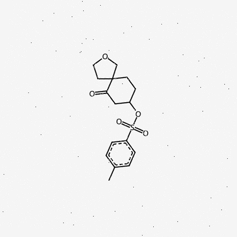 Cc1ccc(S(=O)(=O)OC2CCC3(CCOC3)C(=O)C2)cc1